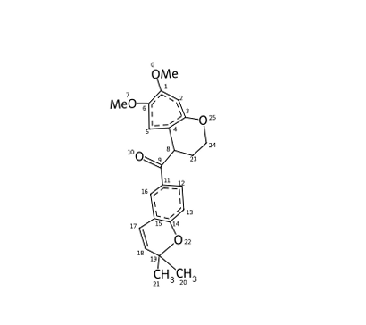 COc1cc2c(cc1OC)C(C(=O)c1ccc3c(c1)C=CC(C)(C)O3)CCO2